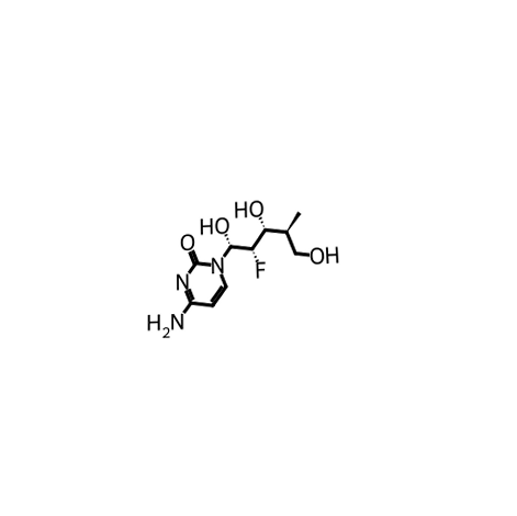 C[C@@H](CO)[C@@H](O)[C@H](F)[C@@H](O)n1ccc(N)nc1=O